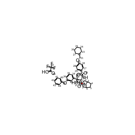 NC1CC2CCC(C1)N2C(=O)C(NS(=O)(=O)c1ccc(OCC2CCCCC2)cc1)C(F)(F)c1cccc(Oc2ccccc2)c1.O=C(O)C(F)(F)F